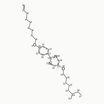 C=CCCCCCCCOc1ccc(-c2ncc(OCCCCCC(C)CC)cn2)cc1